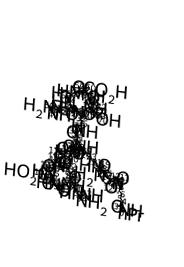 CCCNC(=O)CCCCCN1C(=O)CC(SCC(N)C(=O)NCCCCCC(=O)NC(CCC(=O)NCCCCC2NC(=O)[C@@H](CCCNC(=N)N)NC(=O)CNC(=O)[C@@H](CC(=O)O)NC(=O)[C@H](Cc3ccc(O)cc3)NC2=O)C(=O)NCCCCC2CC(=O)[C@@H](CCCNC(=N)N)NC(=O)CNC(=O)[C@@H](CC(=O)O)NC(=O)[C@H](Cc3ccc(O)cc3)NC2=O)C1=O